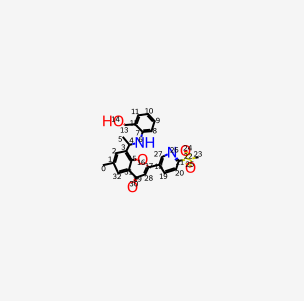 Cc1cc(C(C)Nc2ccccc2CO)c2oc(-c3ccc(S(C)(=O)=O)nc3)cc(=O)c2c1